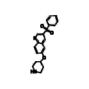 O=S(=O)(c1ccccc1)c1cnc2ccc(OC3CCNCC3)cc2c1